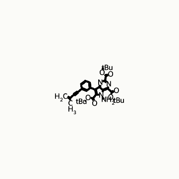 C=C(C)C#Cc1cccc(-c2c(C(=O)OC(C)(C)C)n(N)c3c(C(=O)OC(C)(C)C)nc(C(=O)OC(C)(C)C)nc23)c1